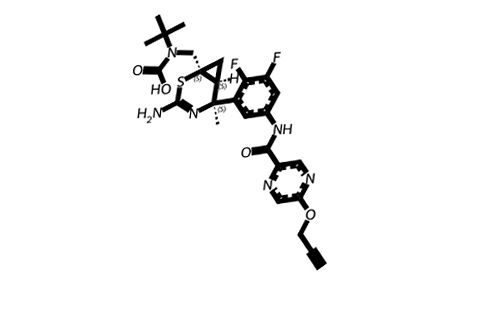 C#CCOc1cnc(C(=O)Nc2cc(F)c(F)c([C@@]3(C)N=C(N)S[C@@]4(CN(C(=O)O)C(C)(C)C)C[C@H]43)c2)cn1